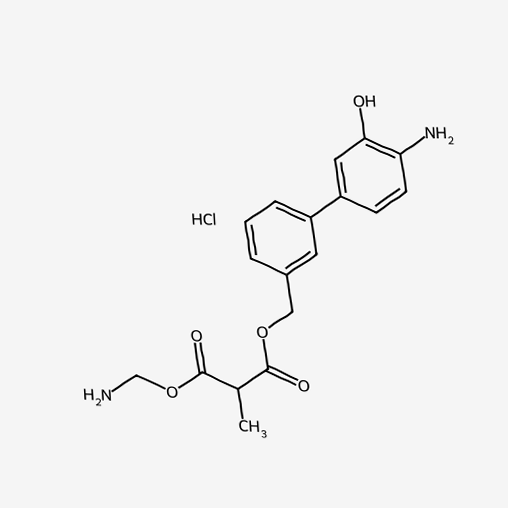 CC(C(=O)OCN)C(=O)OCc1cccc(-c2ccc(N)c(O)c2)c1.Cl